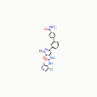 CCn1nc(-c2cccc(-c3ccc(C(N)=O)cc3)c2)cc(NC(=O)Nc2c(C)cncc2Cl)c1=O